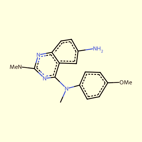 CNc1nc(N(C)c2ccc(OC)cc2)c2cc(N)ccc2n1